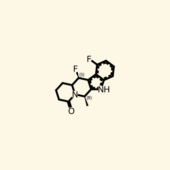 C[C@@H]1c2[nH]c3cccc(F)c3c2[C@H](F)C2CCCC(=O)N21